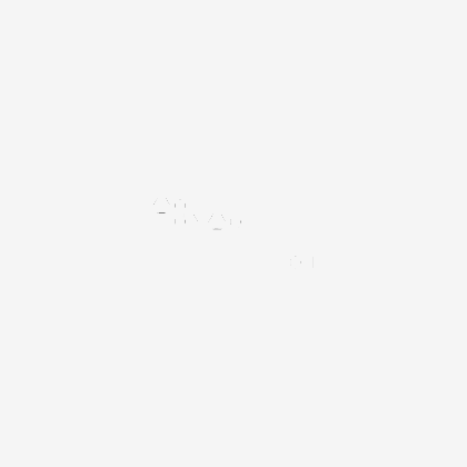 O=C(C=Cc1ccc(OCCCCCCCCO)cc1)Oc1ccccc1